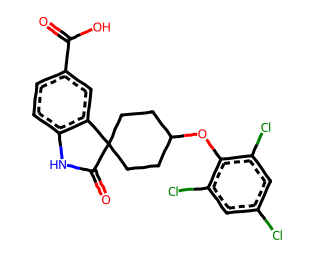 O=C(O)c1ccc2c(c1)C1(CCC(Oc3c(Cl)cc(Cl)cc3Cl)CC1)C(=O)N2